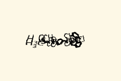 CS(C)(C)CCOC(=O)Oc1ccc(COC(=O)Cc2ccccc2Nc2c(Cl)cccc2Cl)cc1